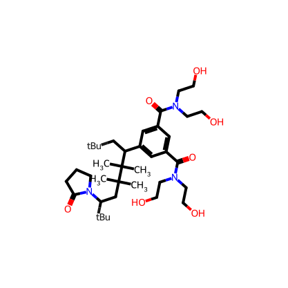 CC(C)(C)CC(c1cc(C(=O)N(CCO)CCO)cc(C(=O)N(CCO)CCO)c1)C(C)(C)C(C)(C)CC(N1CCCC1=O)C(C)(C)C